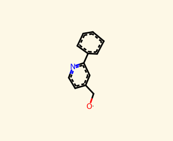 [O]Cc1ccnc(-c2ccccc2)c1